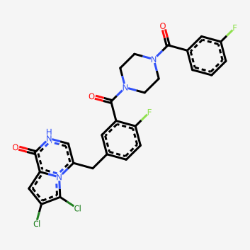 O=C(c1cccc(F)c1)N1CCN(C(=O)c2cc(Cc3c[nH]c(=O)c4cc(Cl)c(Cl)n34)ccc2F)CC1